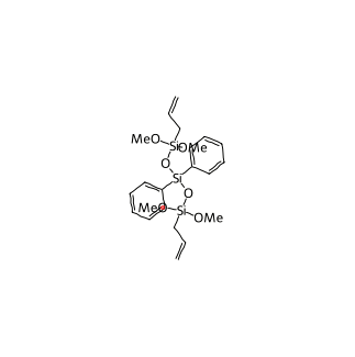 C=CC[Si](OC)(OC)O[Si](O[Si](CC=C)(OC)OC)(c1ccccc1)c1ccccc1